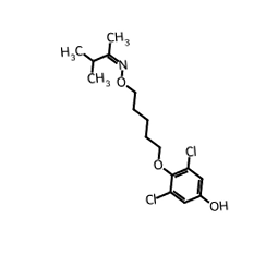 CC(=NOCCCCCOc1c(Cl)cc(O)cc1Cl)C(C)C